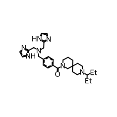 CCC(CC)N1CCC2(CCCN(C(=O)c3ccc(CN(Cc4ncc[nH]4)Cc4ncc[nH]4)cc3)C2)CC1